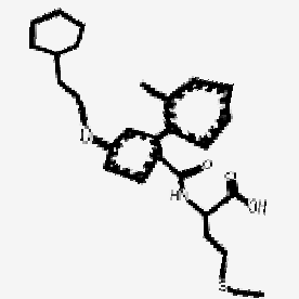 CSCCC(NC(=O)c1ccc(OCCC2CCCCC2)cc1-c1ccccc1C)C(=O)O